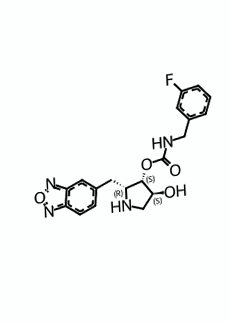 O=C(NCc1cccc(F)c1)O[C@@H]1[C@@H](O)CN[C@@H]1Cc1ccc2nonc2c1